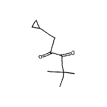 CC(C)(C)C(=O)C(=O)CC1CC1